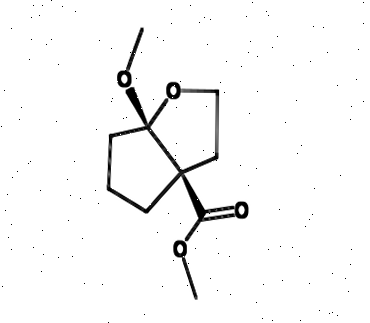 COC(=O)[C@@]12CCC[C@]1(OC)OCC2